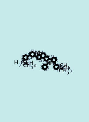 C[Si](C)(C)c1cccc(-c2cccc(-c3cc4c(cc3Nc3ccccc3)-c3ccc5c([nH]c6ccc(-c7cccc([Si](C)(C)C)c7)cc65)c3CC4)c2)c1